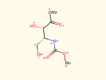 COC(=O)[C@@H](O)[C@@H](CO)NC(=O)OC(C)(C)C